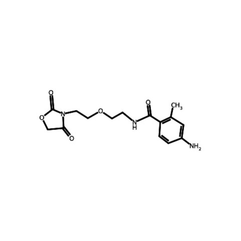 Cc1cc(N)ccc1C(=O)NCCOCCN1C(=O)COC1=O